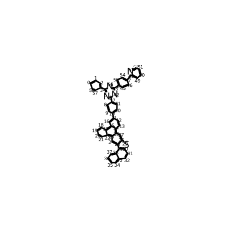 c1ccc(-c2nc(-c3ccc(-c4ccc5c(c4)c4ccccc4c4cc6c(cc54)sc4ccc5ccccc5c46)cc3)nc(-c3ccc(-c4ccccn4)cc3)n2)cc1